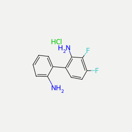 Cl.Nc1ccccc1-c1ccc(F)c(F)c1N